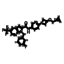 O=C(Nc1ccc(N2CC(OCC3CC3)C2)nc1)c1cc2cc(C(F)(F)F)cnc2n1Cc1cccc(F)c1